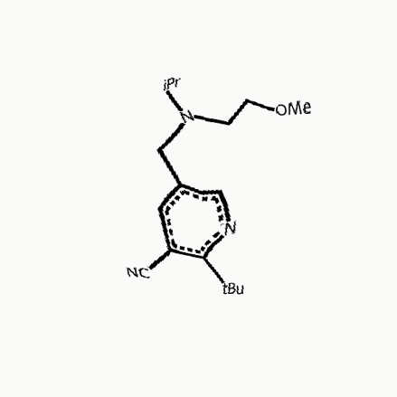 COCCN(Cc1cnc(C(C)(C)C)c(C#N)c1)C(C)C